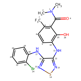 CN(C)C(=O)c1c(C(F)(F)F)ccc(Nc2nsnc2Nc2ccccc2Br)c1O